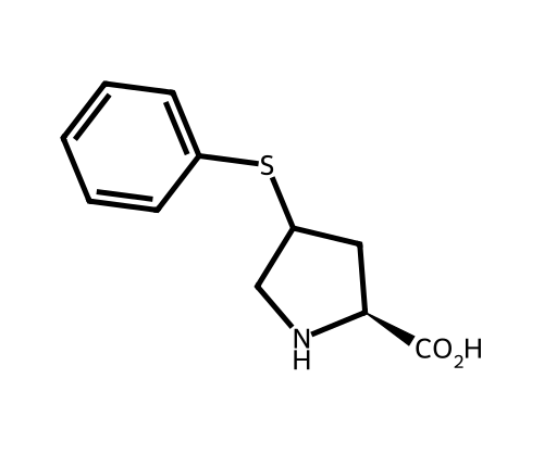 O=C(O)[C@@H]1CC(Sc2ccccc2)CN1